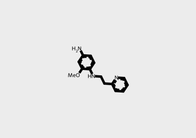 COc1cc(N)ccc1NCCc1ccccn1